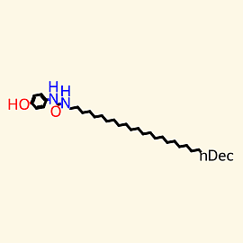 CCCCCCCCCCCCCCCCCCCCCCCCCCCCCCCCNC(=O)Nc1ccc(O)cc1